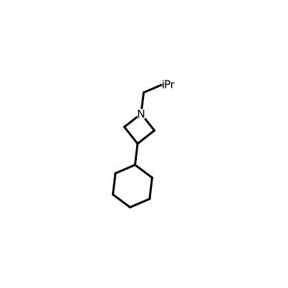 CC(C)CN1CC(C2CCCCC2)C1